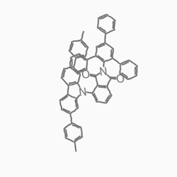 Cc1ccc(-c2ccc3c4ccc(-c5ccc(C)cc5)cc4n(-c4cccc5c4C(=O)N(c4c(-c6ccccc6)cc(-c6ccccc6)cc4-c4ccccc4)C5=O)c3c2)cc1